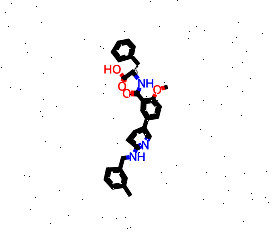 COc1ccc(-c2ccc(NCc3cccc(C)c3)nc2)cc1C(=O)N[C@@H](Cc1ccccc1)C(=O)O